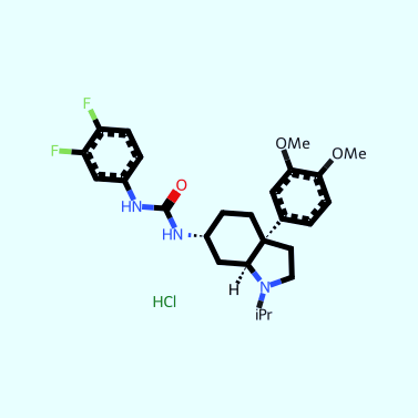 COc1ccc([C@@]23CC[C@@H](NC(=O)Nc4ccc(F)c(F)c4)C[C@@H]2N(C(C)C)CC3)cc1OC.Cl